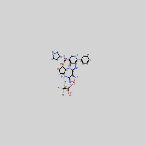 Nc1nonc1-c1nc2c(-c3ccccc3)ncc(C(=O)NC3CCNC3)c2n1C1CCCC1.O=C(O)C(F)(F)F